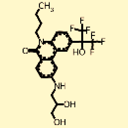 CCCCn1c(=O)c2ccc(NCC(O)CO)cc2c2cc(C(O)(C(F)(F)F)C(F)(F)F)ccc21